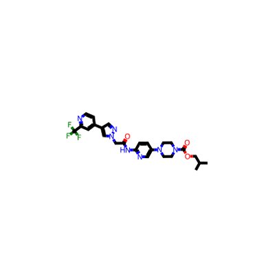 CC(C)COC(=O)N1CCN(c2ccc(NC(=O)Cn3cc(-c4ccnc(C(F)(F)F)c4)cn3)nc2)CC1